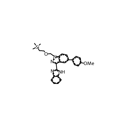 COc1ccc(-c2ccc3c(c2)c(-c2nc4ccccc4[nH]2)nn3COCC[Si](C)(C)C)cc1